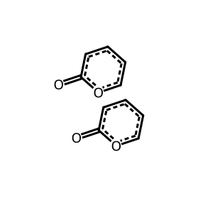 O=c1cccco1.O=c1cccco1